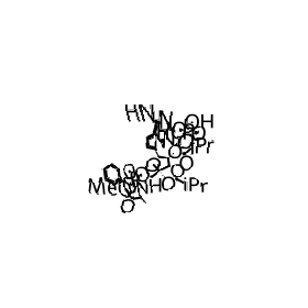 COC(=O)[C@H](C)N[P@](=O)(OC[C@@]1(C)O[C@@H](c2ccc3c(=N)ncn(COP(=O)(O)O)n23)[C@H](OC(=O)C(C)C)[C@@H]1OC(=O)C(C)C)Oc1ccccc1